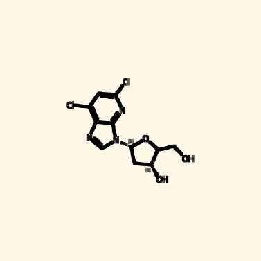 OCC1O[C@@H](n2cnc3c(Cl)cc(Cl)nc32)C[C@@H]1O